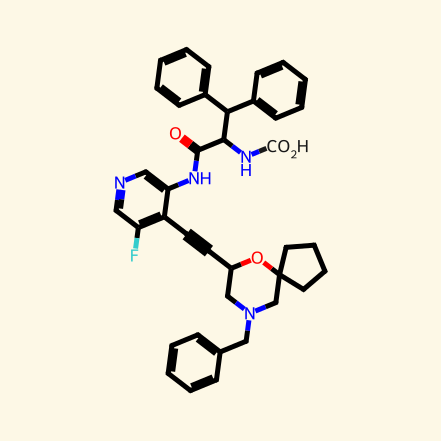 O=C(O)NC(C(=O)Nc1cncc(F)c1C#CC1CN(Cc2ccccc2)CC2(CCCC2)O1)C(c1ccccc1)c1ccccc1